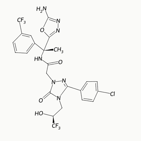 C[C@@](NC(=O)Cn1nc(-c2ccc(Cl)cc2)n(C[C@H](O)C(F)(F)F)c1=O)(c1cccc(C(F)(F)F)c1)c1nnc(N)o1